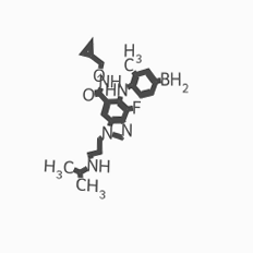 Bc1ccc(Nc2c(C(=O)NOCC3CC3)cc3c(ncn3CCCNC(C)C)c2F)c(C)c1